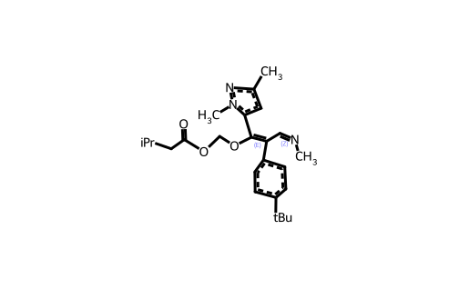 C/N=C\C(=C(\OCOC(=O)CC(C)C)c1cc(C)nn1C)c1ccc(C(C)(C)C)cc1